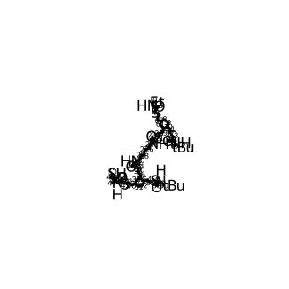 CCNC(=O)SCCC1CCC(CCSC(=O)NC(C)(C)C)C(CCSC(=O)NCCCCCCNC(=O)SCCC2CC(CCSC(=O)NC(C)(C)CS)CCC2CCSC(=O)NC(C)(C)C)C1